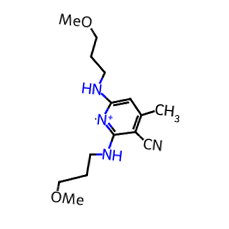 COCCCNC1=CC(C)=C(C#N)C(NCCCOC)=[N+]1